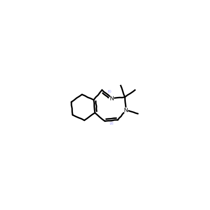 CN1/C=C\C2=C(/C=N/C1(C)C)CCCC2